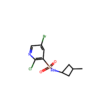 CC1CC(NS(=O)(=O)c2cc(Br)cnc2Cl)C1